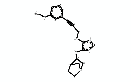 CCCCOc1cccc(C#CCOc2nsnc2OC2CN3CCC2C3)c1